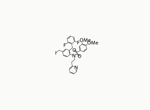 COc1ccc(S(=O)(=O)N(CCc2ccccn2)c2ccc(CI)cc2Cc2c(F)cccc2F)cc1OC